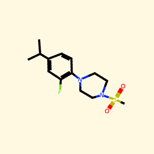 CC(C)c1ccc(N2CCN(S(C)(=O)=O)CC2)c(F)c1